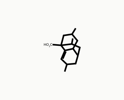 CC1C=C2C3CC(C)CC2(C(=O)O)C(C)CC3C1